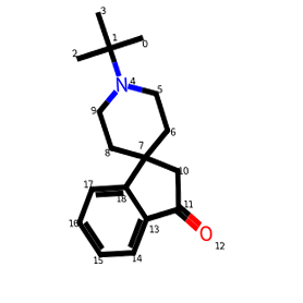 CC(C)(C)N1CCC2(CC1)CC(=O)c1ccccc12